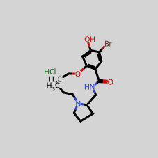 CCCN1CCCC1CNC(=O)c1cc(Br)c(O)cc1OCC.Cl